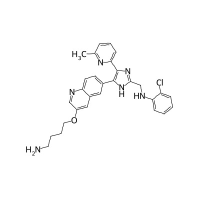 Cc1cccc(-c2nc(CNc3ccccc3Cl)[nH]c2-c2ccc3ncc(OCCCCN)cc3c2)n1